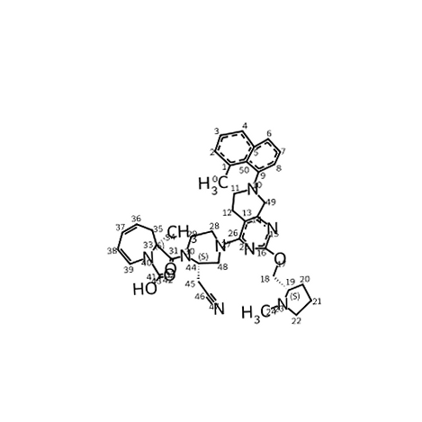 Cc1cccc2cccc(N3CCc4c(nc(OC[C@@H]5CCCN5C)nc4N4CCN(C(=O)[C@]5(C)CC=CC=CN5C(=O)O)[C@@H](CC#N)C4)C3)c12